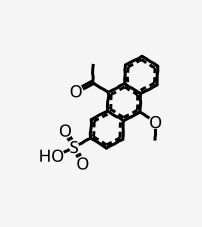 COc1c2ccccc2c(C(C)=O)c2cc(S(=O)(=O)O)ccc12